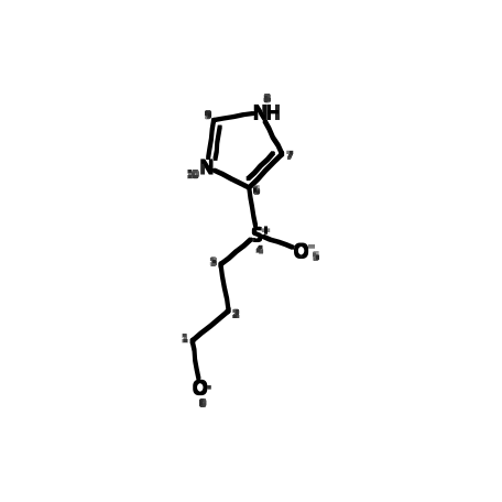 [O]CCC[S+]([O-])c1c[nH]cn1